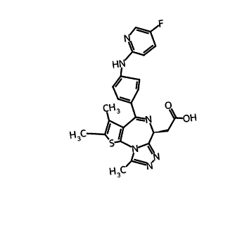 Cc1sc2c(c1C)C(c1ccc(Nc3ccc(F)cn3)cc1)=N[C@@H](CC(=O)O)c1nnc(C)n1-2